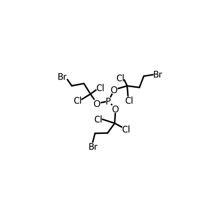 ClC(Cl)(CCBr)OP(OC(Cl)(Cl)CCBr)OC(Cl)(Cl)CCBr